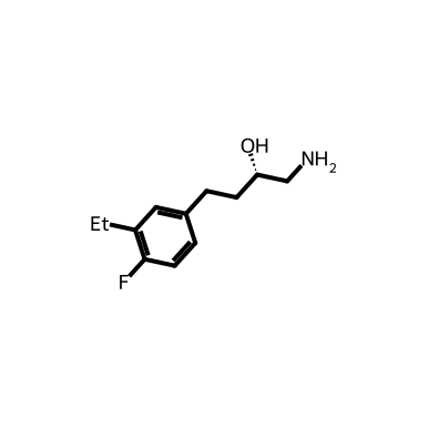 CCc1cc(CC[C@H](O)CN)ccc1F